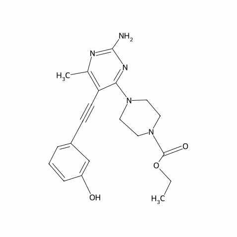 CCOC(=O)N1CCN(c2nc(N)nc(C)c2C#Cc2cccc(O)c2)CC1